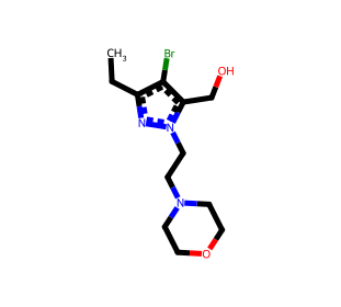 CCc1nn(CCN2CCOCC2)c(CO)c1Br